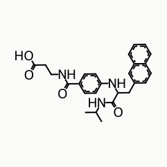 CC(C)NC(=O)C(Cc1ccc2ccccc2c1)Nc1ccc(C(=O)NCCC(=O)O)cc1